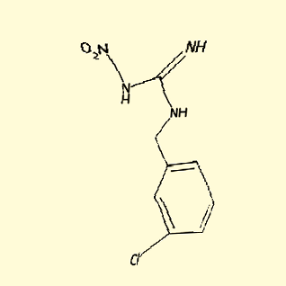 N=C(NCc1cccc(Cl)c1)N[N+](=O)[O-]